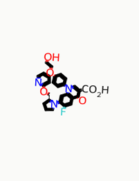 O=C(O)c1cn(-c2ccc(OCCO)cc2)c2cc(N3CCC[C@@H]3COc3ccccn3)c(F)cc2c1=O